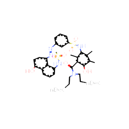 CCCCCCCCCCCCN(CCCCCCCCCCCC)C(=O)c1c(C)c(NS(=O)(=O)c2cccc(N=Nc3ccc(O)c4cccc(NS(C)(=O)=O)c34)c2)c(C)c(C)c1O